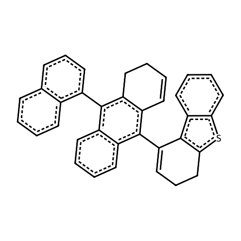 C1=Cc2c(c(-c3cccc4ccccc34)c3ccccc3c2C2=CCCc3sc4ccccc4c32)CC1